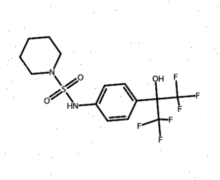 O=S(=O)(Nc1ccc(C(O)(C(F)(F)F)C(F)(F)F)cc1)N1CCCCC1